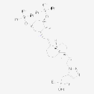 C=C1/C(=C\C=C2CCC[C@]3(C)[C@@H]([C@H](C)Cn4nncc4CC(O)(CC)CC)CC[C@@H]23)C[C@H](O[Si](C(C)C)(C(C)C)C(C)C)C[C@H]1O[Si](C(C)C)(C(C)C)C(C)C